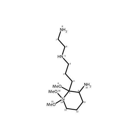 COC1(CCCNCCN)C(N)CCC[Si]1(OC)OC